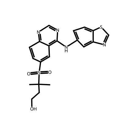 CC(C)(CCO)S(=O)(=O)c1ccc2ncnc(Nc3ccc4scnc4c3)c2c1